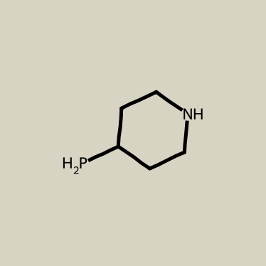 PC1CCNCC1